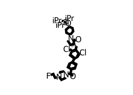 CC(C)[Si](OC1CCC(N2CC[C@@H](Cc3c(Cl)cc(-c4ccc(C(=O)N5CCN(CCF)CC5)cc4)cc3Cl)C2=O)CC1)(C(C)C)C(C)C